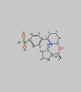 C[C@H](OC1CCCC(c2ccc(S(C)(=O)=O)cc2)=N1)C1CCCS1